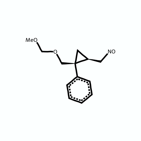 COCOC[C@@]1(c2ccccc2)C[C@H]1CN=O